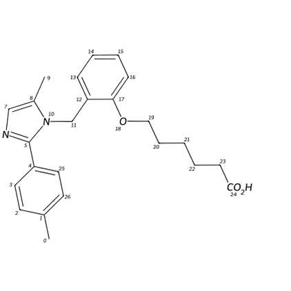 Cc1ccc(-c2ncc(C)n2Cc2ccccc2OCCCCCC(=O)O)cc1